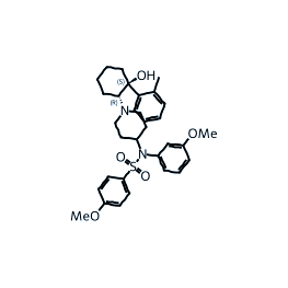 COc1ccc(S(=O)(=O)N(c2cccc(OC)c2)C2CCN([C@@H]3CCCC[C@]3(O)c3ccccc3C)CC2)cc1